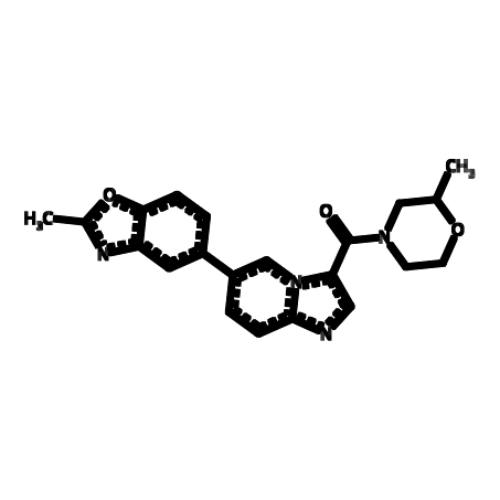 Cc1nc2cc(-c3ccc4ncc(C(=O)N5CCOC(C)C5)n4c3)ccc2o1